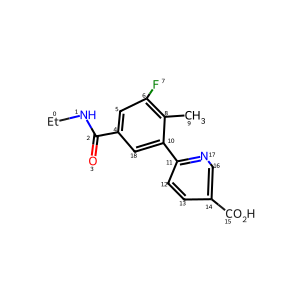 CCNC(=O)c1cc(F)c(C)c(-c2ccc(C(=O)O)cn2)c1